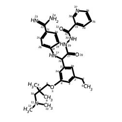 CCc1cc(OCC(C)(C)CN(C)C)cc(C(Nc2ccc(C(=N)N)cc2)C(=O)NNC(=O)c2cccnc2)c1